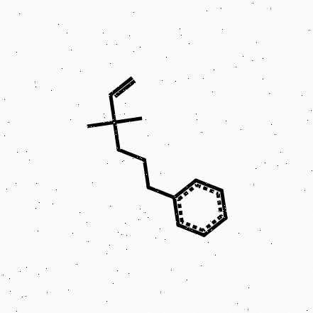 C=CC(C)(C)CCCc1ccccc1